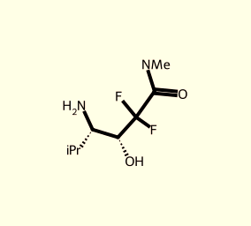 CNC(=O)C(F)(F)[C@H](O)[C@@H](N)C(C)C